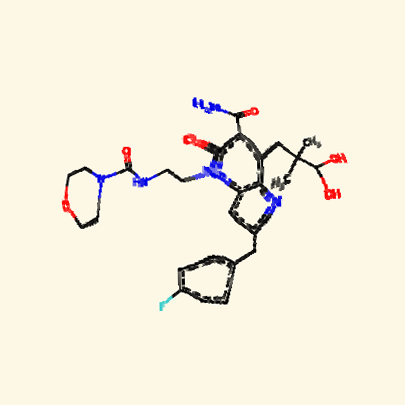 CC(C)(Cc1c(C(N)=O)c(=O)n(CCNC(=O)N2CCOCC2)c2cc(Cc3ccc(F)cc3)cnc12)C(O)O